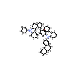 c1ccc(-c2ccccc2N(c2cccc(-c3cccc4c3c3c5ccccc5ccc3n4-c3ccccc3)c2)c2ccc3c(ccc4ccccc43)c2)cc1